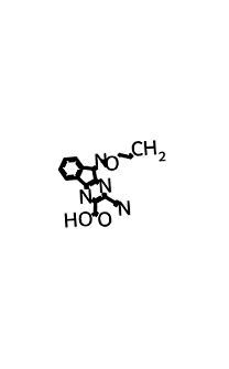 C=CCON=C1c2ccccc2-c2nc(C(=O)O)c(C#N)nc21